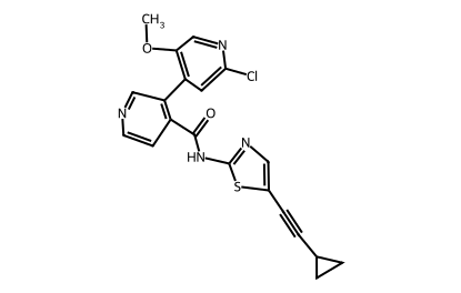 COc1cnc(Cl)cc1-c1cnccc1C(=O)Nc1ncc(C#CC2CC2)s1